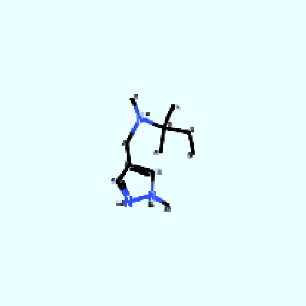 CCC(C)(C)N(C)Cc1cnn(C)c1